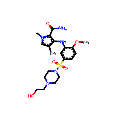 CCCOc1ccc(S(=O)(=O)N2CCN(CCO)CC2)cc1Nc1c(CCC)cn(C)c1C(N)=O